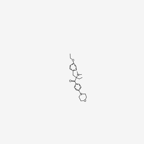 CCOc1ccc(CC(CC)(C(=O)c2ccc(N3CCOCC3)cc2)N(C)C)cc1